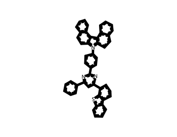 c1ccc(-c2cc(-c3cccc4c3sc3ccccc34)nc(-c3ccc(-n4c5ccc6ccccc6c5c5c6ccccc6ccc54)cc3)n2)cc1